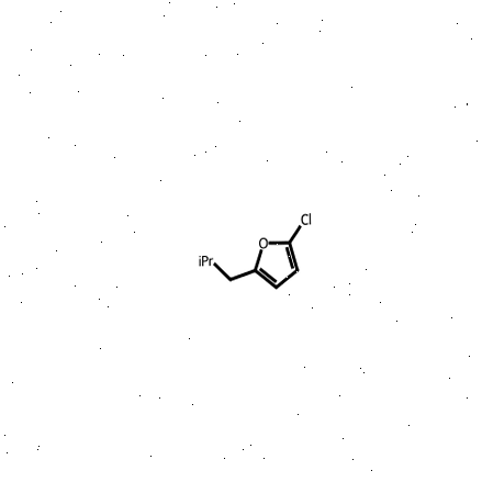 CC(C)Cc1ccc(Cl)o1